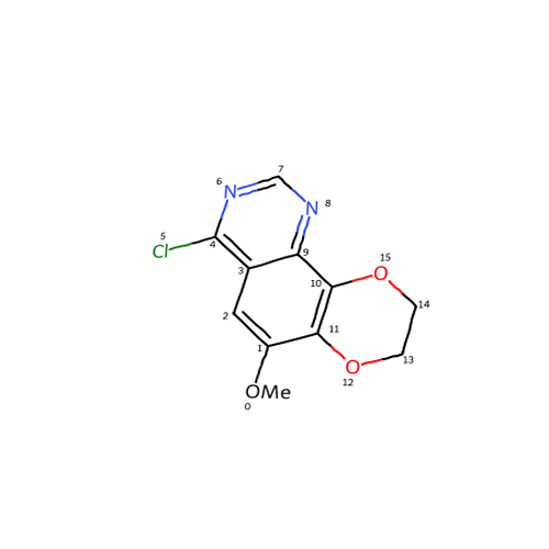 COc1cc2c(Cl)ncnc2c2c1OCCO2